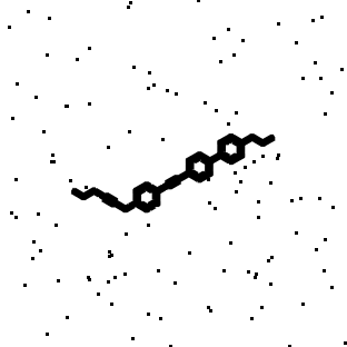 CCCC#CCc1ccc(C#Cc2ccc(-c3ccc(CCC)cc3)cc2)cc1